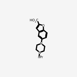 CCCN1CCN(c2ccc3oc(C(=O)O)cc3c2)CC1